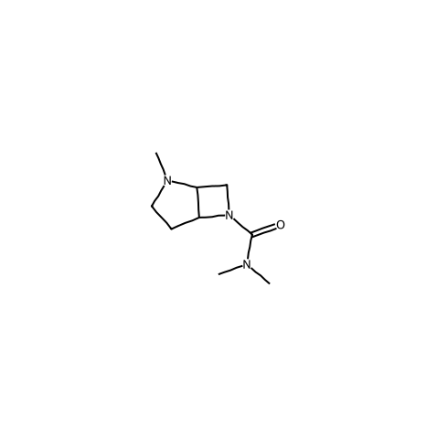 CN(C)C(=O)N1CC2C1CCN2C